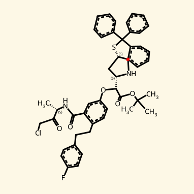 C[C@H](NC(=O)c1cc(OC(C(=O)OC(C)(C)C)[C@@H]2C[C@H](SC(c3ccccc3)(c3ccccc3)c3ccccc3)CN2)ccc1CCc1ccc(F)cc1)C(=O)CCl